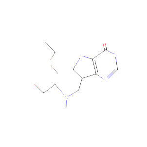 CCSC[C@@H](CO)N(C)CC1CNc2c1nc[nH]c2=O